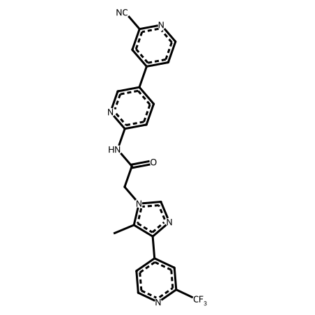 Cc1c(-c2ccnc(C(F)(F)F)c2)ncn1CC(=O)Nc1ccc(-c2ccnc(C#N)c2)cn1